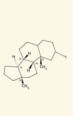 C[C@@]12CCC[C@H]1[C@@H]1CCC3CCC(I)C[C@]3(C)[C@@H]1CC2